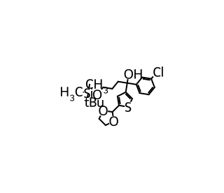 CC(C)(C)[Si](C)(C)OCCCC(O)(c1cccc(Cl)c1)c1csc(C2OCCO2)c1